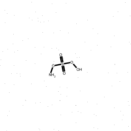 NOS(=O)(=O)OO